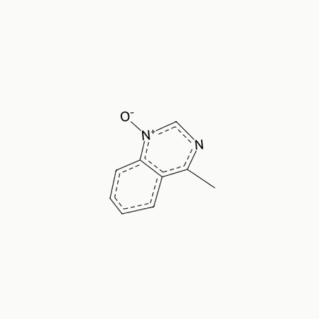 Cc1nc[n+]([O-])c2ccccc12